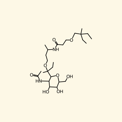 CCC(C)(CC)COCCC(=O)NC(C)CCOC(C)(CC)C1OC(CO)C(O)C(O)C1NC(C)=O